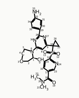 C[C@H]1COCCN1c1cc(C2(S(=O)(=O)c3ccc(C(=O)N(C)C)cn3)CC2)nc(-c2ccc(N)cc2)n1